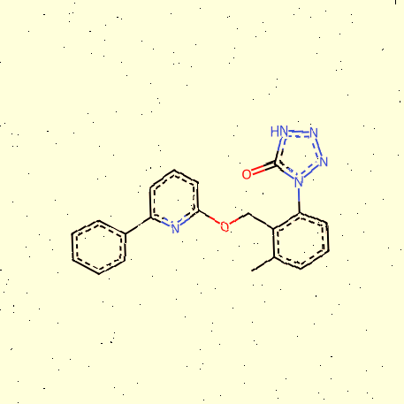 Cc1cccc(-n2nn[nH]c2=O)c1COc1cccc(-c2ccccc2)n1